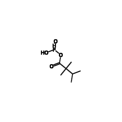 CC(C)C(C)(C)C(=O)O[PH](=O)O